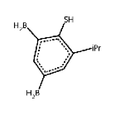 Bc1cc(B)c(S)c(C(C)C)c1